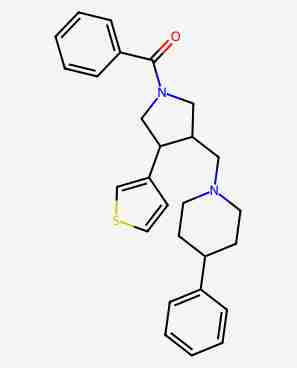 O=C(c1ccccc1)N1CC(CN2CCC(c3ccccc3)CC2)C(c2ccsc2)C1